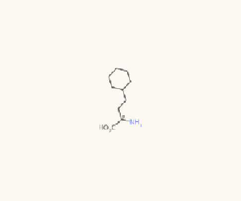 N[C@H](CCC1CCCCC1)C(=O)O